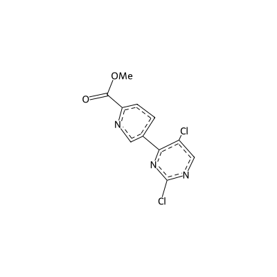 COC(=O)c1ccc(-c2nc(Cl)ncc2Cl)cn1